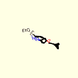 C=C(C)COc1ccc2[nH]c(C(=O)OCC)cc2c1